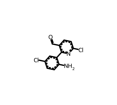 Nc1ccc(Cl)cc1-c1nc(Cl)ccc1C=O